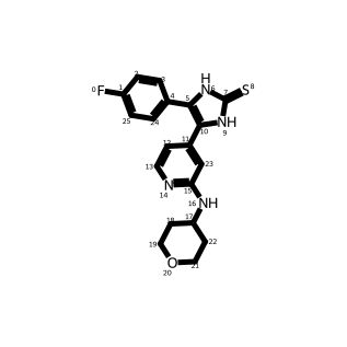 Fc1ccc(-c2[nH]c(=S)[nH]c2-c2ccnc(NC3CCOCC3)c2)cc1